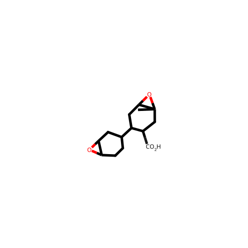 CC12CC(C(=O)O)C(C3CCC4OC4C3)CC1O2